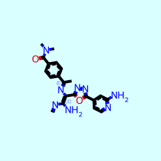 C=N/C(N)=C(\N=C(/C)c1ccc(C(=O)N(C)C)cc1)c1nnc(-c2ccnc(N)c2)o1